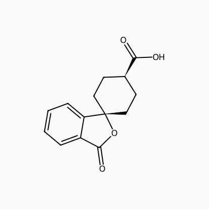 O=C1O[C@]2(CC[C@H](C(=O)O)CC2)c2ccccc21